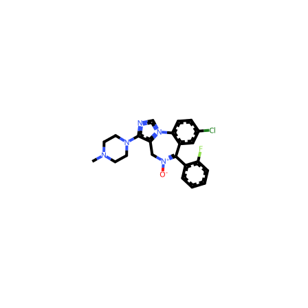 CN1CCN(c2ncn3c2C[N+]([O-])=C(c2ccccc2F)c2cc(Cl)ccc2-3)CC1